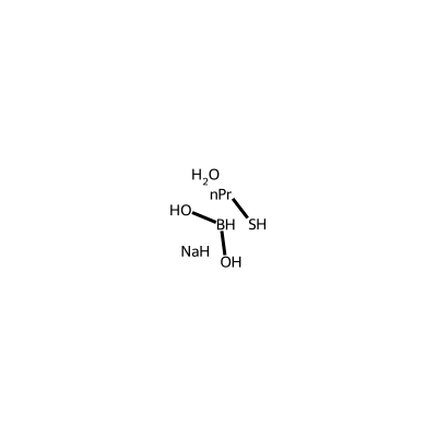 CCCS.O.OBO.[NaH]